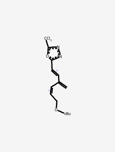 C=C(/C=C\COCCCC)/C=C/c1nnc(C(Cl)(Cl)Cl)o1